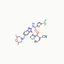 CC(C)C=C(C#N)C(=O)N1CCC[C@@H]1Cn1c(NC(=O)c2ccc(C(F)F)s2)nc2ccc(CN3CC(C)OC(C)C3)cc21